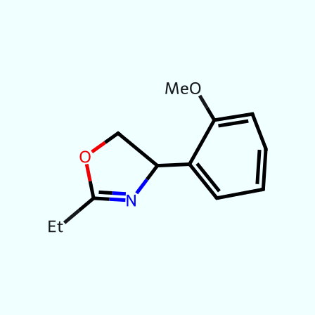 CCC1=NC(c2ccccc2OC)CO1